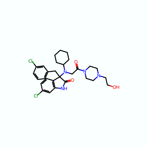 O=C(CN(C1CCCCC1)C1(Cc2cccc(Cl)c2)C(=O)Nc2cc(Cl)ccc21)N1CCN(CCO)CC1